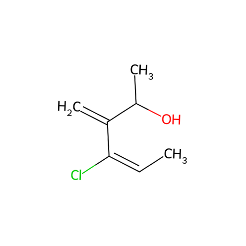 C=C(/C(Cl)=C\C)C(C)O